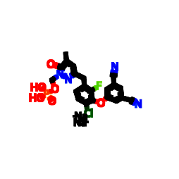 Cc1cc(Cc2ccc(Cl)c(Oc3cc(C#N)cc(C#N)c3)c2F)nn(COP(=O)(O)O)c1=O.[Na].[Na]